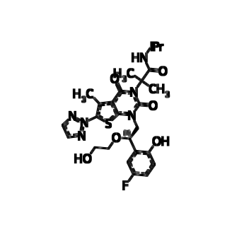 Cc1c(-n2nccn2)sc2c1c(=O)n(C(C)(C)C(=O)NC(C)C)c(=O)n2C[C@H](OCCO)c1cc(F)ccc1O